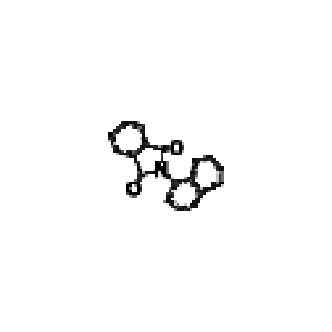 O=C1c2ccccc2C(=O)N1c1cccc2ccccc12